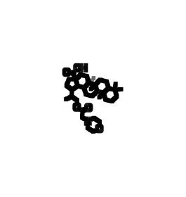 CC(COC(=O)CN1CCOCC1)C1CCC2(C(=O)O)CC[C@]3(C)C(CCC4C5(C)CCCC(C)(C)C5CCC43C)C12